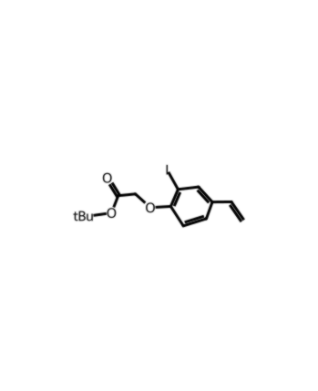 C=Cc1ccc(OCC(=O)OC(C)(C)C)c(I)c1